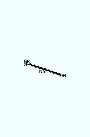 O=S(=O)([O-])CCCCCCCCCCCCCCCCCCO.[Na+]